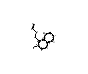 C=CCCc1c(C)ccc2ccccc12